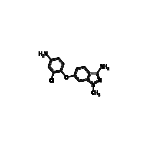 Cn1nc(N)c2ccc(Oc3ccc(N)cc3Cl)cc21